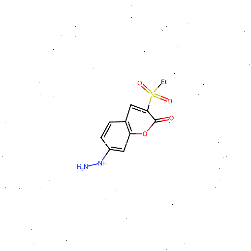 CCS(=O)(=O)c1cc2ccc(NN)cc2oc1=O